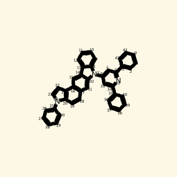 c1ccc(-c2cc(-n3c4ccccc4c4cc5c(ccc6c5ccn6-c5ccccc5)cc43)cc(-c3ccccc3)n2)cc1